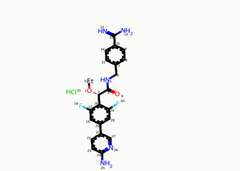 CCO[C@H](C(=O)NCc1ccc(C(=N)N)cc1)c1c(F)cc(-c2ccc(N)nc2)cc1F.Cl